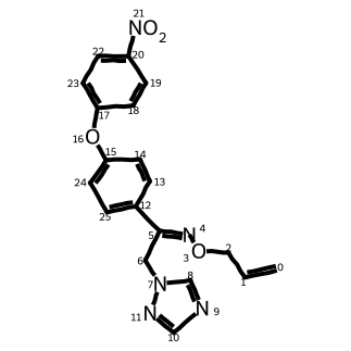 C=CCON=C(Cn1cncn1)c1ccc(Oc2ccc([N+](=O)[O-])cc2)cc1